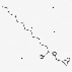 CCCCCCCCCCCCC(Br)OCC1CO1